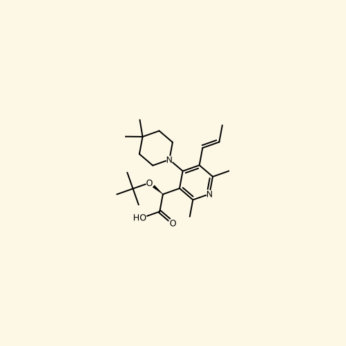 CC=Cc1c(C)nc(C)c([C@H](OC(C)(C)C)C(=O)O)c1N1CCC(C)(C)CC1